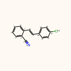 N#Cc1ccccc1C=Cc1ccc(Cl)cc1